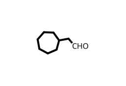 O=CCC1CCCCCC1